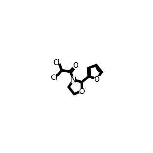 O=C(C(Cl)Cl)N1CCOC1c1ccco1